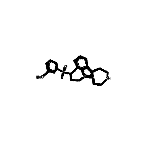 COc1cccc(S(=O)(=O)C2CCn3c4c(c5cccc2c53)CCNCC4)c1